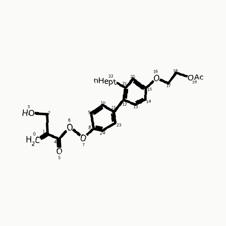 C=C(CO)C(=O)OOc1ccc(-c2ccc(OCCOC(C)=O)cc2CCCCCCC)cc1